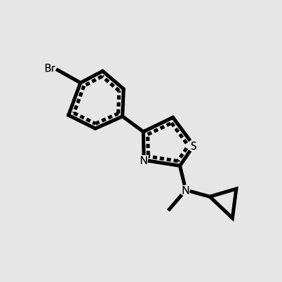 CN(c1nc(-c2ccc(Br)cc2)cs1)C1CC1